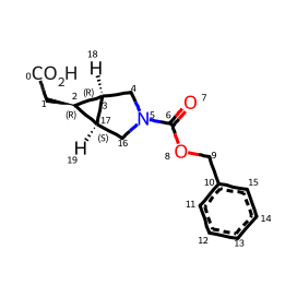 O=C(O)C[C@H]1[C@H]2CN(C(=O)OCc3ccccc3)C[C@@H]12